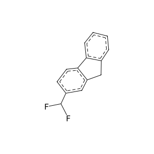 FC(F)c1ccc2c(c1)Cc1ccccc1-2